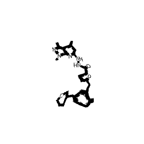 Cc1ccc(C2CCCCC2)cc1Cc1ccc(C(=O)NNc2cc(C)c3c(C)nn(C)c3n2)o1